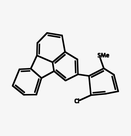 CSc1cccc(Cl)c1-c1cc2c3c(cccc3c1)-c1ccccc1-2